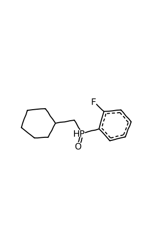 O=[PH](CC1CCCCC1)c1ccccc1F